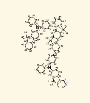 C/C=C\C1=C(C)C(C)(C)c2cc(N(c3ccccc3)c3ccc(-c4ccc5c(c4)C(C)(C)c4cc6c(cc4-5)C(C)(C)c4cccc(-c5ccc(N(c7ccccc7)c7ccc8c(c7)C(C)(C)c7ccccc7-8)cc5)c4-6)cc3)ccc21